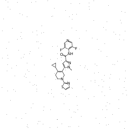 Cn1nc(C(=O)Nc2c(F)cncc2F)cc1C1=C(C2CC2)CCN(c2nccs2)C1